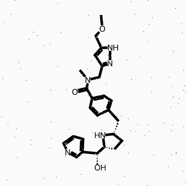 COCc1cc(CN(C)C(=O)c2ccc(C[C@@H]3CC[C@H]([C@H](O)c4cccnc4)N3)cc2)n[nH]1